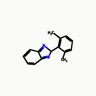 Cc1cccc(C)c1C1N=c2ccccc2=N1